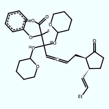 CC/C=C/[C@H]1CCC(=O)[C@@H]1CC=C=CC([16O]C1CCCCO1)([16O]C1CCCCO1)C(F)(Oc1ccccc1)C(=O)OC